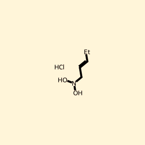 CCC=CCN(O)O.Cl